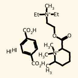 CC[N+](C)(CC)CCOC(=O)C1CCCC(C)[N+]1(C)C.I.I.O=C(O)c1ccc(C(=O)O)cc1